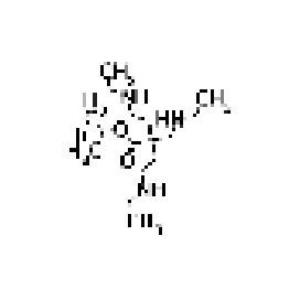 CCNCCC(CCNCC)(CNCC)C(=O)OC(C)C.[Ti]